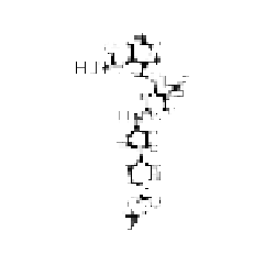 CC(C)(C)OC(=O)N1CCC(c2ccc(Nc3ncc(C(F)(F)F)c(CCc4ncncc4CC(N)=O)n3)cc2)CC1